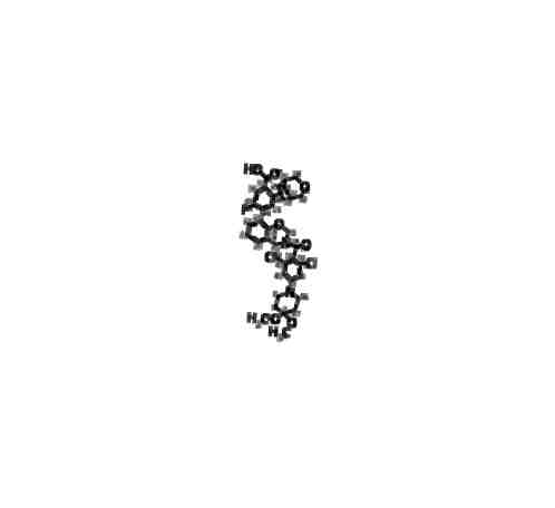 COC1(OC)CCN(c2cc(Cl)c(C(=O)N3COc4c(cccc4-c4cc(N5C6CCC5COC6)c(C(=O)O)cc4F)C3)c(Cl)c2)CC1